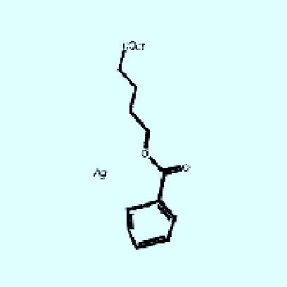 CCCCCCCCCCCCOC(=O)c1ccccc1.[Ag]